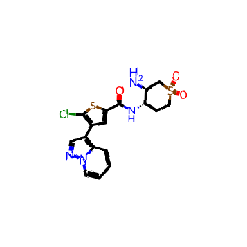 N[C@H]1CS(=O)(=O)CC[C@@H]1NC(=O)c1cc(-c2cnn3ccccc23)c(Cl)s1